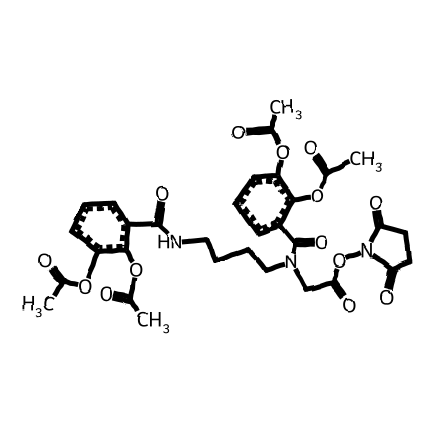 CC(=O)Oc1cccc(C(=O)NCCCCN(CC(=O)ON2C(=O)CCC2=O)C(=O)c2cccc(OC(C)=O)c2OC(C)=O)c1OC(C)=O